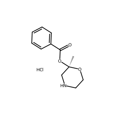 C[C@@]1(OC(=O)c2ccccc2)CNCCO1.Cl